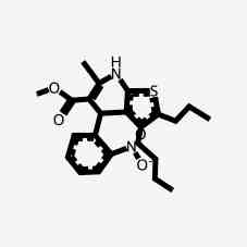 CCCCc1c(CCC)sc2c1C(c1ccccc1[N+](=O)[O-])C(C(=O)OC)=C(C)N2